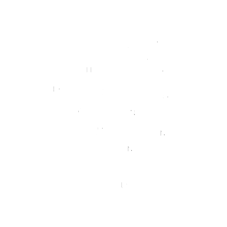 CC(C)(C)OC(=O)N(C(=O)OC(C)(C)C)c1nccc(Br)n1